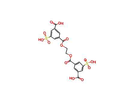 O=C(O)c1cc(C(=O)OCCOC(=O)c2cc(C(=O)O)cc(S(=O)(=O)O)c2)cc(S(=O)(=O)O)c1